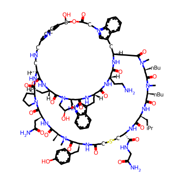 CCCC[C@H]1C(=O)N(C)[C@@H](CCCC)C(=O)N[C@@H](CC(C)C)C(=O)N[C@H](C(=O)NCC(N)=O)CSCC(=O)N[C@@H](Cc2ccc(O)cc2)C(=O)N(C)[C@@H](C)C(=O)N[C@@H](CC(N)=O)C(=O)N2CCC[C@H]2C(=O)N[C@H]2CNCc3ccc(cn3)B(O)OC(=O)Cn3cc(c4ccccc43)C[C@H](NC(=O)[C@H](CCN)NC(=O)[C@H](Cc3c[nH]c4ccccc34)NC(=O)[C@@H]3C[C@@H](O)CN3C(=O)[C@H](CC(C)C)NC2=O)C(=O)N1C